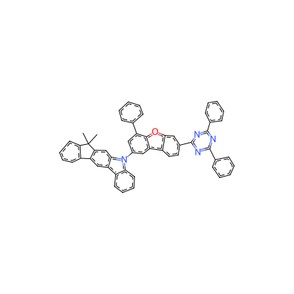 CC1(C)c2ccccc2-c2cc3c4ccccc4n(-c4cc(-c5ccccc5)c5oc6cc(-c7nc(-c8ccccc8)nc(-c8ccccc8)n7)ccc6c5c4)c3cc21